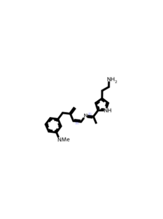 C=C(/C=C\N=C(/C)c1cc(CCN)c[nH]1)Cc1cccc(NC)c1